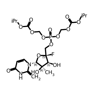 C=C1NC(=O)C=CN1[C@@H]1O[C@](F)(COP(=O)(OCOC(=O)OC(C)C)OCOC(=O)OC(C)C)[C@@H](O)[C@@]1(C)O